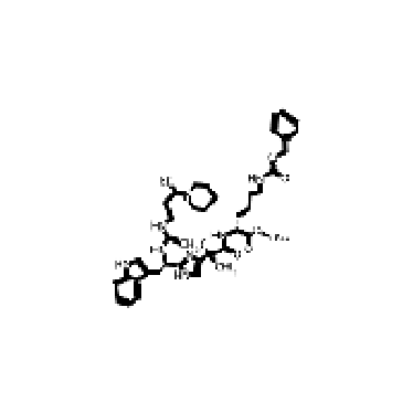 CCC(CCNC(=O)N[C@H](Cc1c[nH]c2ccccc12)c1nc(C(C)(C)C(=O)N[C@H](CCCCNC(=O)OCc2ccccc2)C(=O)OC(C)(C)C)c[nH]1)N1CCCCC1